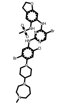 CN1CCCN(C2CCN(c3cc(Cl)c(Nc4ncc(Br)c(Nc5cc6c(cc5NS(C)(=O)=O)CCO6)n4)cc3Br)CC2)CC1